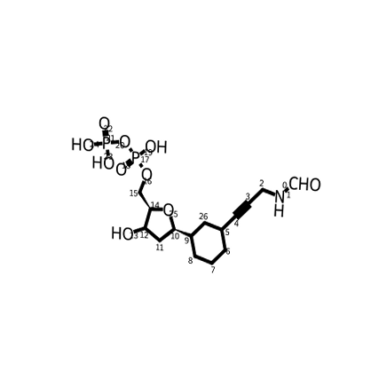 O=CNCC#CC1CCCC([C@H]2CC(O)[C@@H](COP(=O)(O)OP(=O)(O)O)O2)C1